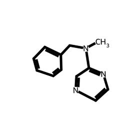 CN(Cc1ccccc1)c1cnccn1